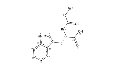 [2H]CC(=O)N[C@@H](Cc1c[nH]c2ccccc12)C(=O)O